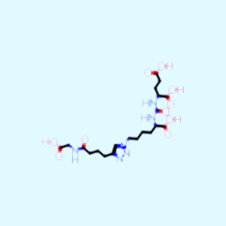 O=C(O)CCC(NC(=O)NC(CCCCn1cc(CCCC(=O)NCC(=O)O)nn1)C(=O)O)C(=O)O